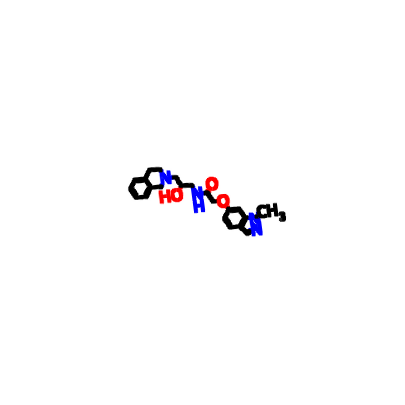 Cn1ncc2ccc(OCC(=O)NC[C@@H](O)CN3CCc4ccccc4C3)cc21